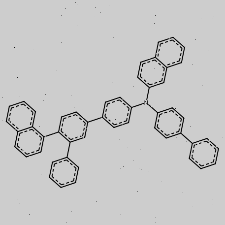 c1ccc(-c2ccc(N(c3ccc(-c4ccc(-c5cccc6ccccc56)c(-c5ccccc5)c4)cc3)c3ccc4ccccc4c3)cc2)cc1